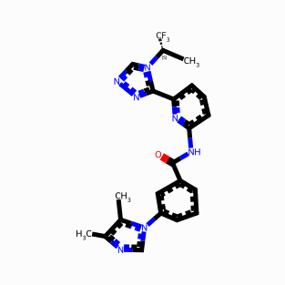 Cc1ncn(-c2cccc(C(=O)Nc3cccc(-c4nncn4[C@@H](C)C(F)(F)F)n3)c2)c1C